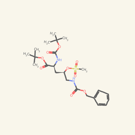 CC(C)(C)OC(=O)N[C@@H](C[C@H](CNC(=O)OCc1ccccc1)OS(C)(=O)=O)C(=O)OC(C)(C)C